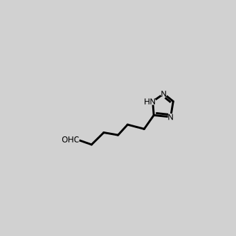 O=CCCCCCc1ncn[nH]1